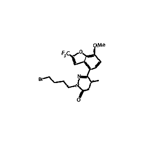 COc1ccc(C2=NN(CCCCBr)C(=O)CC2C)c2cc(C(F)(F)F)oc12